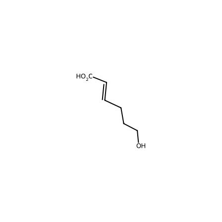 O=C(O)C=CCCCO